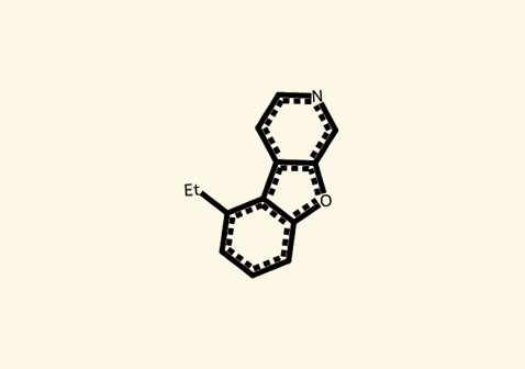 CCc1cccc2oc3cnccc3c12